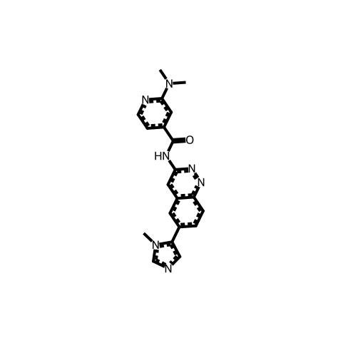 CN(C)c1cc(C(=O)Nc2cc3cc(-c4cncn4C)ccc3nn2)ccn1